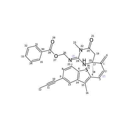 C=C(/C=C\c1sc2ccc(C#CC)cc2c1C)[C@]1(C)CC(=O)N(C)/C(=N\COC(=O)c2ccccc2)N1